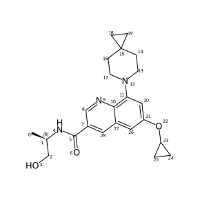 C[C@H](CO)NC(=O)c1cnc2c(N3CCC4(CC3)CC4)cc(OC3CC3)cc2c1